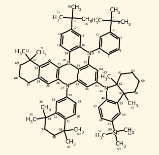 CC(C)(C)c1cccc(N2c3cc(C(C)(C)C)ccc3B3c4cc5c(cc4N(c4ccc6c(c4)C(C)(C)CCC6(C)C)c4cc(N6c7ccc([Si](C)(C)C)cc7C7(C)CCCCC67C)cc2c43)CCCC5(C)C)c1